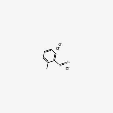 Cc1ccccc1[N]=[V+3].[Cl-].[Cl-].[Cl-]